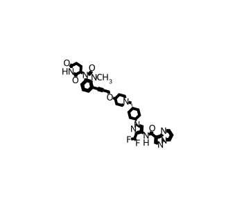 Cn1c(=O)n(C2CCC(=O)NC2=O)c2cccc(C#CCOC3CCN(C[C@H]4CC[C@H](n5cc(NC(=O)c6cnn7cccnc67)c(C(F)F)n5)CC4)CC3)c21